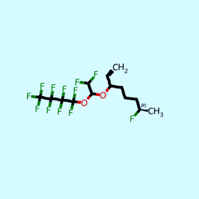 C=CC(CCC[C@@H](C)F)OC(OC(F)(F)C(F)(F)C(F)(F)C(F)(F)F)C(F)F